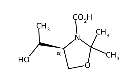 CC(O)[C@@H]1COC(C)(C)N1C(=O)O